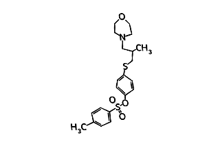 Cc1ccc(S(=O)(=O)Oc2ccc(SCC(C)CN3CCOCC3)cc2)cc1